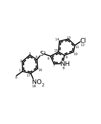 Cc1ccc(Sc2c[nH]c3cc(Cl)ccc23)cc1[N+](=O)[O-]